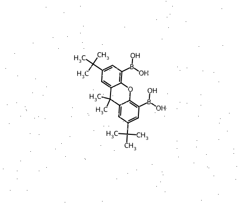 CC(C)(C)c1cc(B(O)O)c2c(c1)C(C)(C)c1cc(C(C)(C)C)cc(B(O)O)c1O2